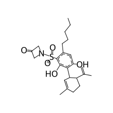 C=C(C)C1CCC(C)=CC1c1c(O)cc(CCCCC)c(S(=O)(=O)N2CC(=O)C2)c1O